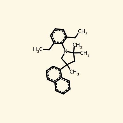 CCc1cccc(CC)c1N1CC(C)(c2cccc3ccccc23)CC1(C)C